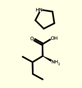 C1CCNC1.CCC(C)[C@H](N)C(=O)O